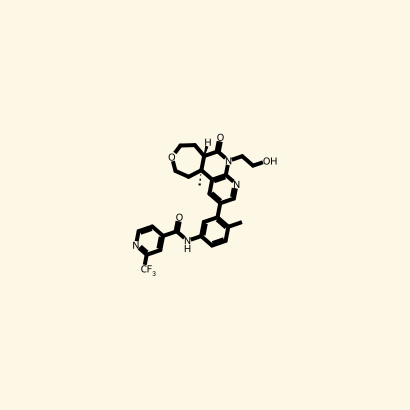 Cc1ccc(NC(=O)c2ccnc(C(F)(F)F)c2)cc1-c1cnc2c(c1)[C@@]1(C)CCOCC[C@@H]1C(=O)N2CCO